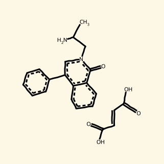 CC(N)Cn1cc(-c2ccccc2)c2ccccc2c1=O.O=C(O)C=CC(=O)O